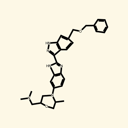 CC1COC(CN(C)C)CN1c1ccc2nc(-c3n[nH]c4cc(COCc5ccccc5)ccc34)[nH]c2c1